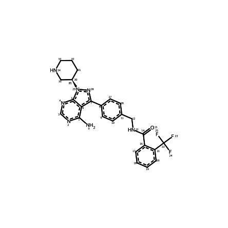 Nc1ncnc2c1c(-c1ccc(CNC(=O)c3ccccc3C(F)(F)F)cc1)nn2[C@@H]1CCCNC1